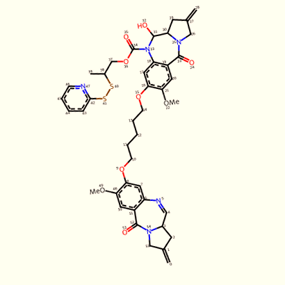 C=C1CC2C=Nc3cc(OCCCCCOc4cc5c(cc4OC)C(=O)N4CC(=C)CC4C(O)N5C(=O)OCC(C)SSc4ccccn4)c(OC)cc3C(=O)N2C1